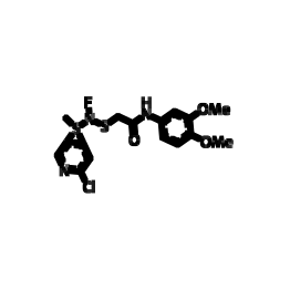 COc1ccc(NC(=O)CSN(F)S2(C)c3cnc(Cl)cc32)cc1OC